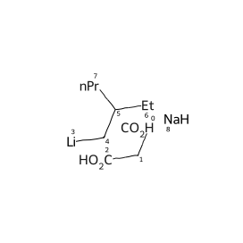 O=C(O)CC(=O)O.[Li][CH2]C(CC)CCC.[NaH]